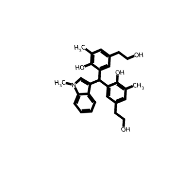 Cc1cc(CCO)cc(C(c2cc(CCO)cc(C)c2O)c2cn(C)c3ccccc23)c1O